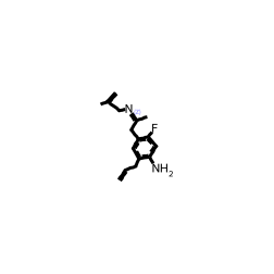 C=CCc1cc(C/C(C)=N\CC(=C)C)c(F)cc1N